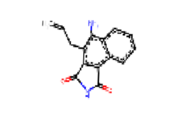 C=CCc1c2c(c3ccccc3c1N)C(=O)NC2=O